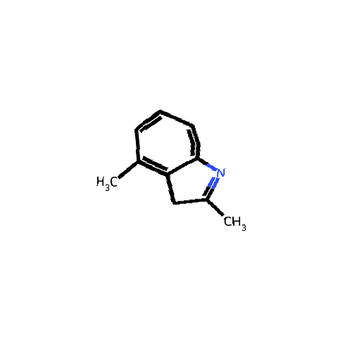 CC1=Nc2cccc(C)c2C1